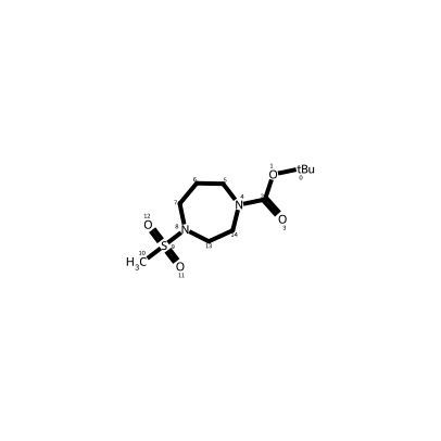 CC(C)(C)OC(=O)N1CCCN(S(C)(=O)=O)CC1